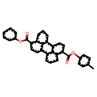 Cc1ccc(OC(=O)c2ccc3c4cccc5c(C(=O)Oc6ccccc6)ccc(c6cccc2c63)c54)cc1